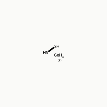 SS.[GeH4].[Zr]